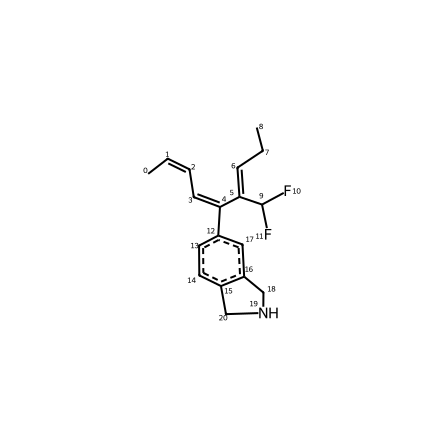 C\C=C/C=C(\C(=C\CC)C(F)F)c1ccc2c(c1)CNC2